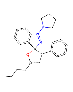 CCCCB1CC(c2ccccc2)[C@](N=NN2CCCC2)(c2ccccc2)O1